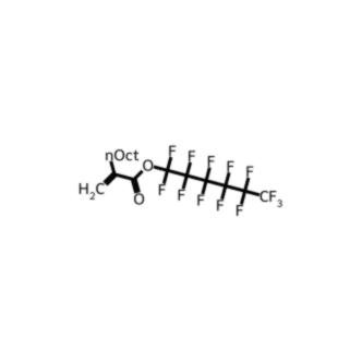 C=C(CCCCCCCC)C(=O)OC(F)(F)C(F)(F)C(F)(F)C(F)(F)C(F)(F)C(F)(F)F